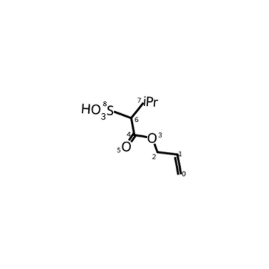 C=CCOC(=O)C(C(C)C)S(=O)(=O)O